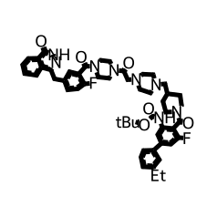 CCc1cccc(-c2cc(F)c(C(=O)N3CCC(CN4CCN(CC(=O)N5CCN(C(=O)c6cc(Cc7n[nH]c(=O)c8ccccc78)ccc6F)CC5)CC4)CC3)c(NC(=O)OC(C)(C)C)c2)c1